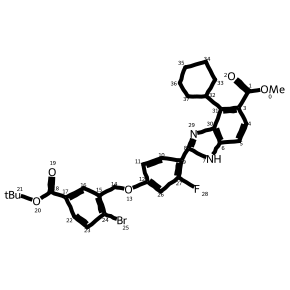 COC(=O)c1ccc2[nH]c(-c3ccc(OCc4cc(C(=O)OC(C)(C)C)ccc4Br)cc3F)nc2c1C1CCCCC1